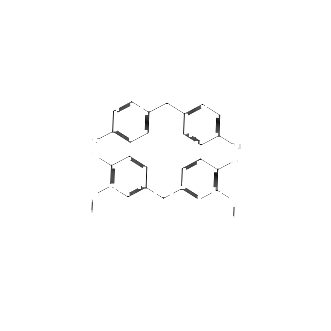 COc1cc(Cc2ccc(N)c(OC)c2)ccc1N.Nc1ccc(Cc2ccc(N)cc2)cc1